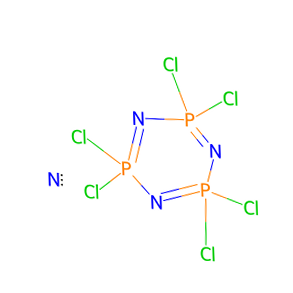 ClP1(Cl)=NP(Cl)(Cl)=NP(Cl)(Cl)=N1.[N]